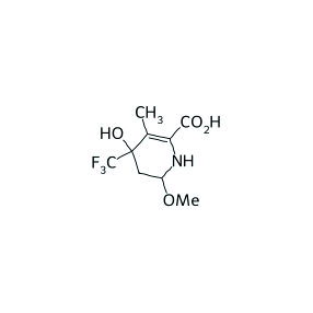 COC1CC(O)(C(F)(F)F)C(C)=C(C(=O)O)N1